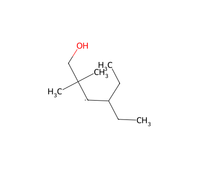 CCC([CH]C(C)(C)CO)CC